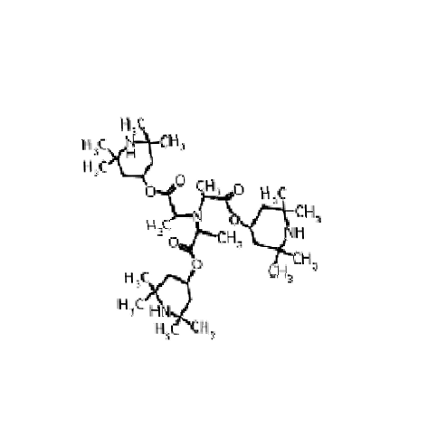 CC(C(=O)OC1CC(C)(C)NC(C)(C)C1)N(C(C)C(=O)OC1CC(C)(C)NC(C)(C)C1)C(C)C(=O)OC1CC(C)(C)NC(C)(C)C1